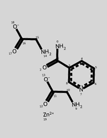 NC(=O)c1cccnc1.NCC(=O)[O-].NCC(=O)[O-].[Zn+2]